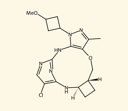 COC1CC(n2nc(C)c3c2Nc2ncc(Cl)c(n2)N[C@@H]2CC[C@H]2CO3)C1